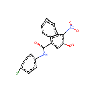 O=C(Nc1ccc(Cl)cc1)c1cc(O)c([N+](=O)[O-])c2ccccc12